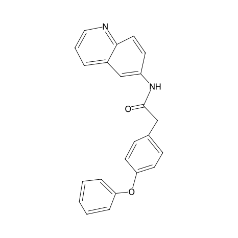 O=C(Cc1ccc(Oc2ccccc2)cc1)Nc1ccc2ncccc2c1